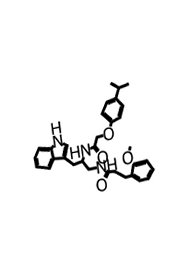 COc1ccccc1CCC(=O)NCC(Cc1c[nH]c2ccccc12)NC(=O)COc1ccc(C(C)C)cc1